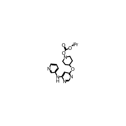 CC(C)OC(=O)ON1CCC(Oc2cc(Nc3cccnc3)ncn2)CC1